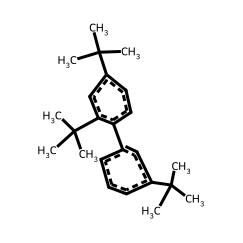 CC(C)(C)c1[c]ccc(-c2ccc(C(C)(C)C)cc2C(C)(C)C)c1